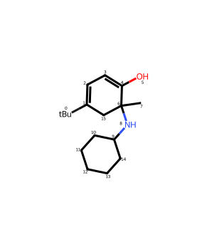 CC(C)(C)C1=CC=C(O)C(C)(NC2CCCCC2)C1